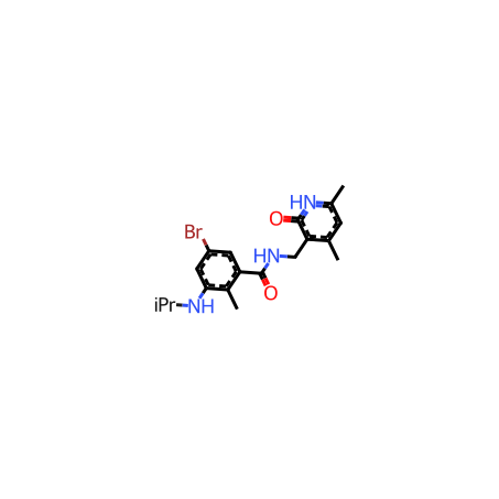 Cc1cc(C)c(CNC(=O)c2cc(Br)cc(NC(C)C)c2C)c(=O)[nH]1